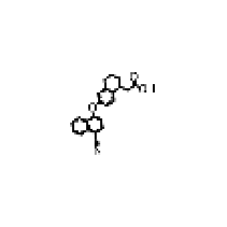 N#Cc1ccc(Oc2ccc3c(c2)CCCC3CC(=O)O)c2ccccc12